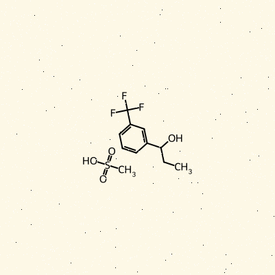 CCC(O)c1cccc(C(F)(F)F)c1.CS(=O)(=O)O